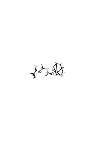 C=C(C)C(=O)OC(C)OC(C)OC12CC3CC(CC(C3)C1)C2